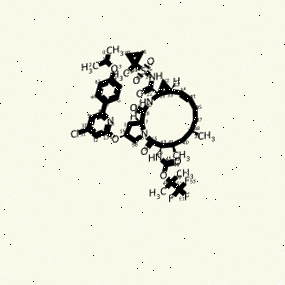 CC(C)Oc1ccc(-c2cc(Cl)cc(O[C@@H]3C[C@H]4C(=O)N[C@]5(C(=O)NS(=O)(=O)C6(C)CC6)C[C@H]5/C=C\CC[C@@H](C)C[C@@H](C)[C@H](NC(=O)OC(C)(C)C(F)(F)F)C(=O)N4C3)n2)cc1